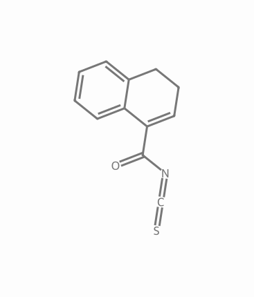 O=C(N=C=S)C1=CCCc2ccccc21